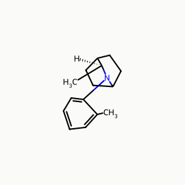 Cc1ccccc1N1C2CCC(CC2)[C@@H]1C